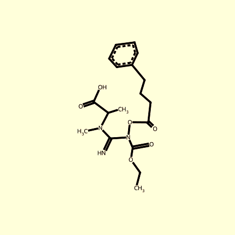 CCOC(=O)N(OC(=O)CCCc1ccccc1)C(=N)N(C)C(C)C(=O)O